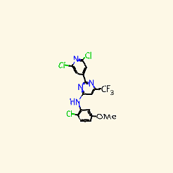 COc1ccc(Cl)c(Nc2cc(C(F)(F)F)nc(-c3cc(Cl)nc(Cl)c3)n2)c1